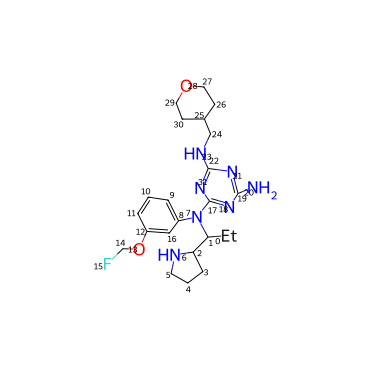 CCC(C1CCCN1)N(c1cccc(OCF)c1)c1nc(N)nc(NCC2CCOCC2)n1